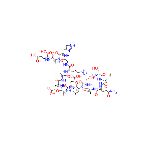 CSCC[C@H](NC(=O)[C@@H](N)CO)C(=O)N[C@@H](CCC(N)=O)C(=O)N[C@@H](C)C(=O)N[C@@H](CO)C(=O)N[C@@H](CC(C)C)C(=O)N[C@@H](CCC(=O)O)C(=O)N[C@@H](C)C(=O)N[C@@H](CCC(=O)O)C(=O)N[C@@H](C)C(=O)N[C@@H](CCCCN)C(=O)NCC(=O)N[C@@H](Cc1c[nH]cn1)C(=O)N[C@@H](C)C(=O)N[C@@H](CCC(=O)O)C(=O)O